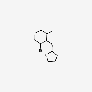 CCC1CCCC(C)C1OC1CCCO1